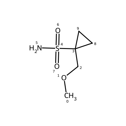 COCC1(S(N)(=O)=O)CC1